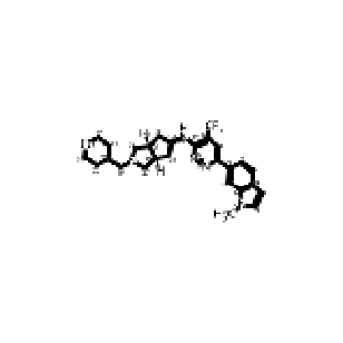 Cn1ccc2ccc(-c3cc(C(F)(F)F)c(NC4C[C@@H]5CN(CC6CCOCC6)C[C@@H]5C4)nn3)cc21